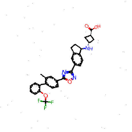 Cc1cc(-c2nc(-c3ccc4c(c3)CCC4N[C@H]3C[C@H](C(=O)O)C3)no2)ccc1-c1ccccc1OC(F)(F)F